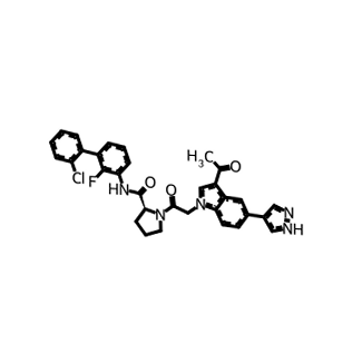 CC(=O)c1cn(CC(=O)N2CCC[C@H]2C(=O)Nc2cccc(-c3ccccc3Cl)c2F)c2ccc(-c3cn[nH]c3)cc12